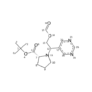 CC(C)(C)OC(=O)[C@H]1CCCN1C(COC=O)c1cncnc1